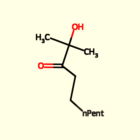 CCCCCCCC(=O)C(C)(C)O